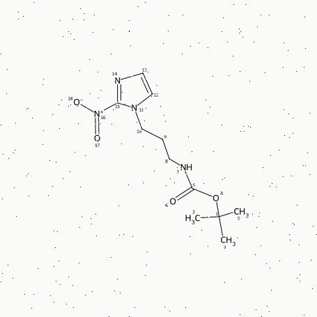 CC(C)(C)OC(=O)NCCCn1ccnc1[N+](=O)[O-]